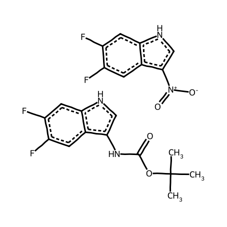 CC(C)(C)OC(=O)Nc1c[nH]c2cc(F)c(F)cc12.O=[N+]([O-])c1c[nH]c2cc(F)c(F)cc12